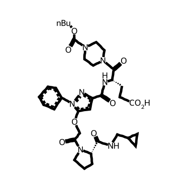 CCCCOC(=O)N1CCN(C(=O)[C@H](CCC(=O)O)NC(=O)c2cc(OCC(=O)N3CCC[C@H]3C(=O)NCC3CC3)n(-c3ccccc3)n2)CC1